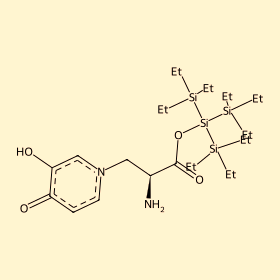 CC[Si](CC)(CC)[Si](OC(=O)[C@@H](N)Cn1ccc(=O)c(O)c1)([Si](CC)(CC)CC)[Si](CC)(CC)CC